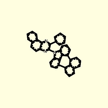 c1ccc(-c2nc3c(ccc4ccccc43)nc2-n2c3cccc4c3c3c(cccc32)-c2cccc3cccc-4c23)cc1